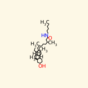 CCCCCCNC(=O)CC(C)CCC[C@@H](C)[C@H]1CC[C@H]2[C@@H]3CC=C4C[C@@H](O)CC[C@]4(C)[C@H]3CC[C@]12C